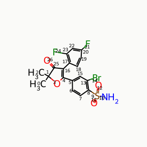 CC1(C)OC(c2ccc(S(N)(=O)=O)c(Br)c2)=C(c2ccc(F)cc2F)C1=O